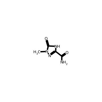 Cn1nc(C(N)=O)[nH]c1=O